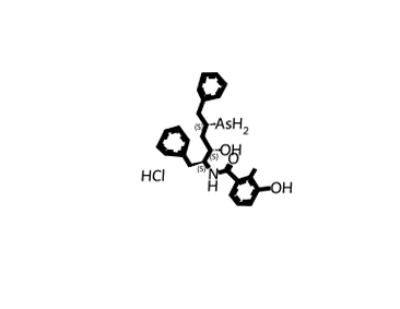 Cc1c(O)cccc1C(=O)N[C@@H](Cc1ccccc1)[C@@H](O)C[C@@H]([AsH2])Cc1ccccc1.Cl